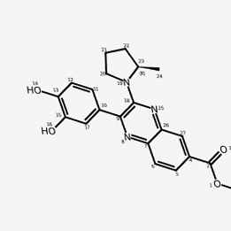 COC(=O)c1ccc2nc(-c3ccc(O)c(O)c3)c(N3CCC[C@H]3C)nc2c1